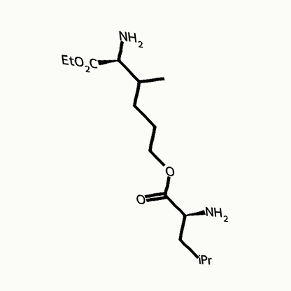 CCOC(=O)[C@@H](N)C(C)CCCOC(=O)[C@@H](N)CC(C)C